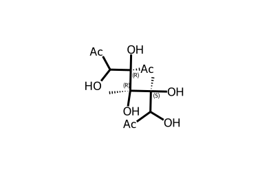 CC(=O)C(O)[C@](C)(O)[C@@](C)(O)[C@@](O)(C(C)=O)C(O)C(C)=O